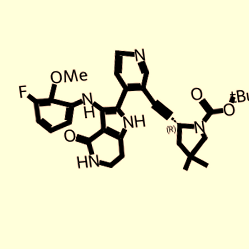 COc1c(F)cccc1Nc1c(-c2ccncc2C#C[C@H]2CC(C)(C)CN2C(=O)OC(C)(C)C)[nH]c2c1C(=O)NCC2